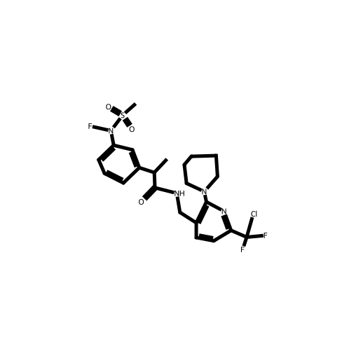 CC(C(=O)NCc1ccc(C(F)(F)Cl)nc1N1CCCCC1)c1cccc(N(F)S(C)(=O)=O)c1